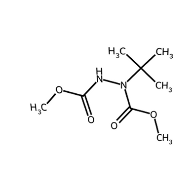 COC(=O)NN(C(=O)OC)C(C)(C)C